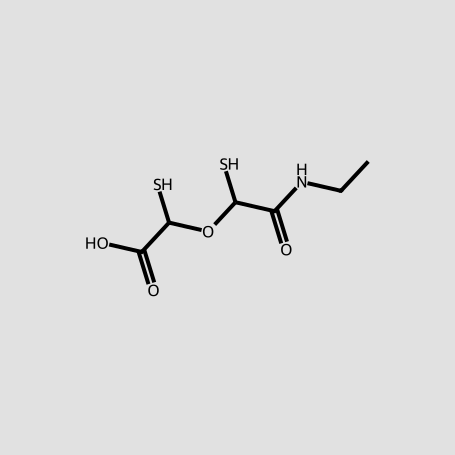 CCNC(=O)C(S)OC(S)C(=O)O